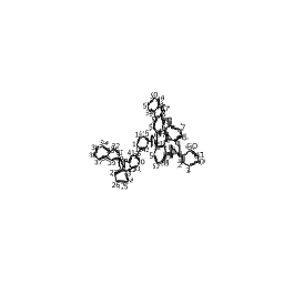 c1ccc(-n2c3ccccc3c3c(N(c4cccc(-c5ccc6c7ccccc7n(-c7ccc8ccccc8c7)c6c5)c4)c4ccc5sc6ccccc6c5c4)cccc32)cc1